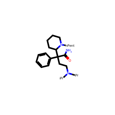 CCCCCN1CCCCC1C(CCN(C(C)C)C(C)C)(C(N)=O)c1ccccc1